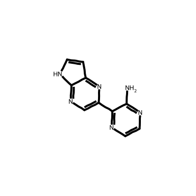 Nc1nccnc1-c1cnc2[nH]ccc2n1